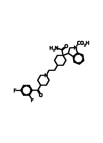 NC(=O)C1(C2CN(C(=O)O)c3ccccc32)CCC(CCN2CCC(C(=O)c3ccc(F)cc3F)CC2)CC1